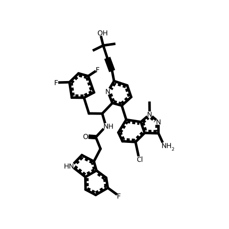 Cn1nc(N)c2c(Cl)ccc(-c3ccc(C#CC(C)(C)O)nc3C(Cc3cc(F)cc(F)c3)NC(=O)Cc3c[nH]c4ccc(F)cc34)c21